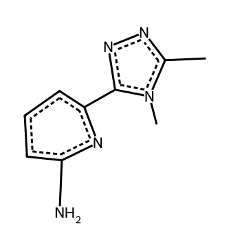 Cc1nnc(-c2cccc(N)n2)n1C